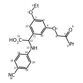 CCOc1cc(OCC(=O)C(C)C)cc(C(Nc2ccc(C#N)cc2)C(=O)O)c1